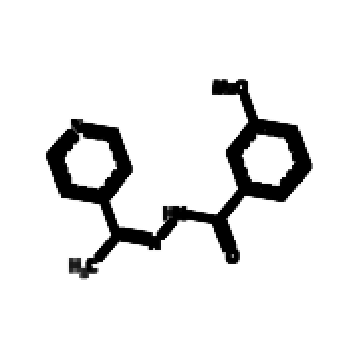 COc1cccc(C(=O)NN=C(C)c2ccncc2)c1